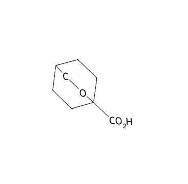 O=C(O)C12CCC(CC1)CO2